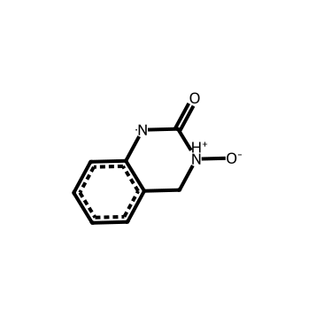 O=C1[N]c2ccccc2C[NH+]1[O-]